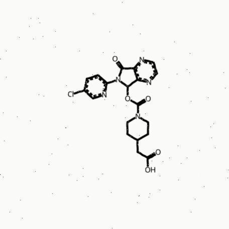 O=C(O)CC1CCN(C(=O)OC2c3nccnc3C(=O)N2c2ccc(Cl)cn2)CC1